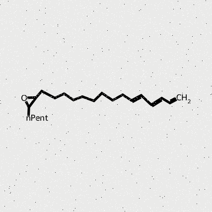 C=CC=CC=CCCCCCCCCCC1OC1CCCCC